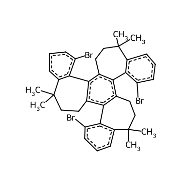 CC1(C)CCc2c(c3c(c4c2-c2c(Br)cccc2C(C)(C)CC4)-c2c(Br)cccc2C(C)(C)CC3)-c2c(Br)cccc21